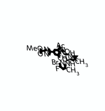 COC(=O)c1ncc(-c2cc(C)c3c(c2)c(C(C)=O)nn3CC(=O)N2[C@H](C(=O)Nc3nc(Br)c(F)cc3C)C[C@@]3(C)C[C@@H]23)cn1